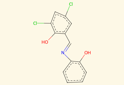 Oc1ccccc1/N=C/c1cc(Cl)cc(Cl)c1O